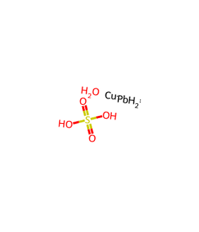 O.O=S(=O)(O)O.[Cu].[PbH2]